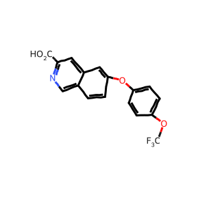 O=C(O)c1cc2cc(Oc3ccc(OC(F)(F)F)cc3)ccc2cn1